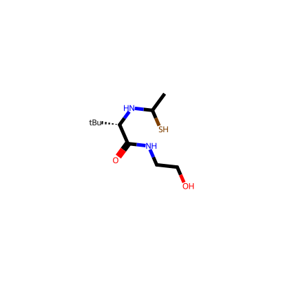 CC(S)N[C@H](C(=O)NCCO)C(C)(C)C